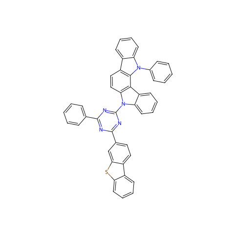 c1ccc(-c2nc(-c3ccc4c(c3)sc3ccccc34)nc(-n3c4ccccc4c4c3ccc3c5ccccc5n(-c5ccccc5)c34)n2)cc1